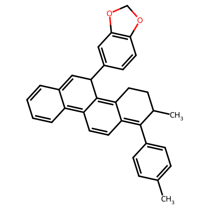 Cc1ccc(C2=c3ccc4c(c3CCC2C)C(c2ccc3c(c2)OCO3)C=c2ccccc2=4)cc1